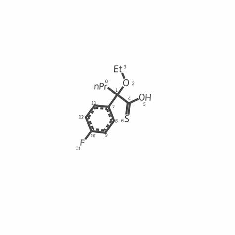 CCCC(OCC)(C(O)=S)c1ccc(F)cc1